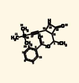 CC(OC(=O)c1ccccc1)C1C(=O)NC1C#C[Si](C)(C)C